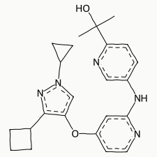 CC(C)(O)c1ccc(Nc2cc(Oc3cn(C4CC4)nc3C3CCC3)ccn2)cn1